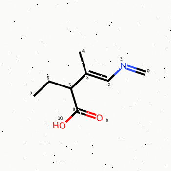 C=N/C=C(\C)C(CC)C(=O)O